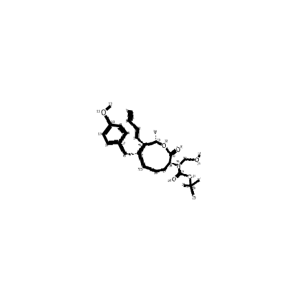 C=CCC[C@@H]1[C@@H](Cc2ccc(OC)cc2)CCC[C@H](N(COC)C(=O)OC(C)(C)C)C(=O)O[C@H]1C